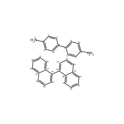 Nc1ccc(-c2ccc(N)cc2)cc1.c1ccc2c(-c3cccc4ccccc34)cccc2c1